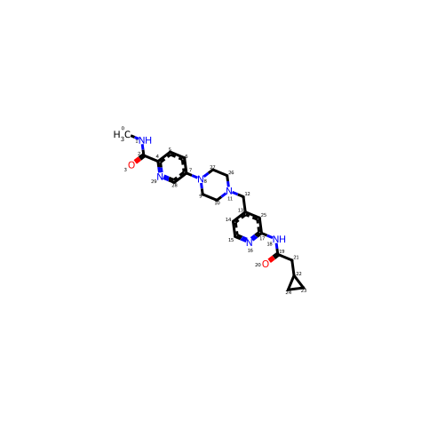 CNC(=O)c1ccc(N2CCN(Cc3ccnc(NC(=O)CC4CC4)c3)CC2)cn1